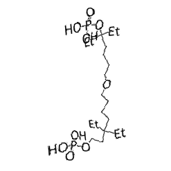 CCC(CC)(CCCCOCCCCC(CC)(CC)OP(=O)(O)O)CCOP(=O)(O)O